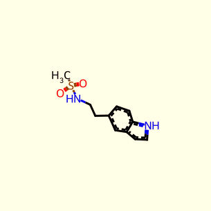 CS(=O)(=O)NCCc1ccc2[nH]ccc2c1